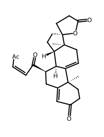 CC(=O)/C=C\C(=O)[C@@H]1CC2=CC(=O)CC[C@]2(C)C2=CC[C@@]3(C)[C@@H](CC[C@@]34CCC(=O)O4)[C@@H]21